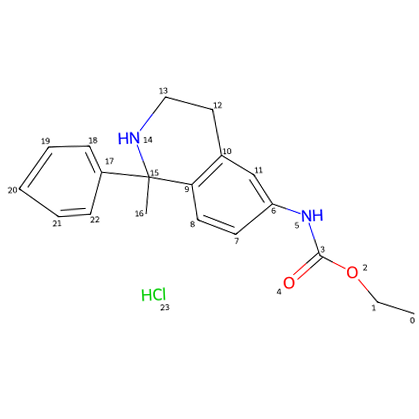 CCOC(=O)Nc1ccc2c(c1)CCNC2(C)c1ccccc1.Cl